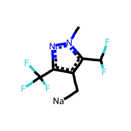 Cn1nc(C(F)(F)F)c([CH2][Na])c1C(F)F